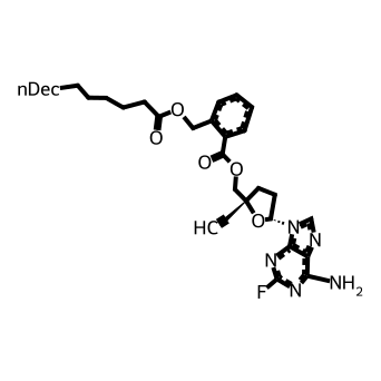 C#C[C@@]1(COC(=O)c2ccccc2COC(=O)CCCCCCCCCCCCCCC)CC[C@H](n2cnc3c(N)nc(F)nc32)O1